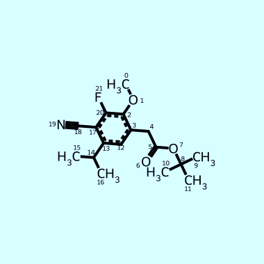 COc1c(CC(=O)OC(C)(C)C)cc(C(C)C)c(C#N)c1F